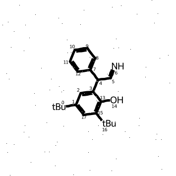 CC(C)(C)c1cc(C(C=N)c2ccccc2)c(O)c(C(C)(C)C)c1